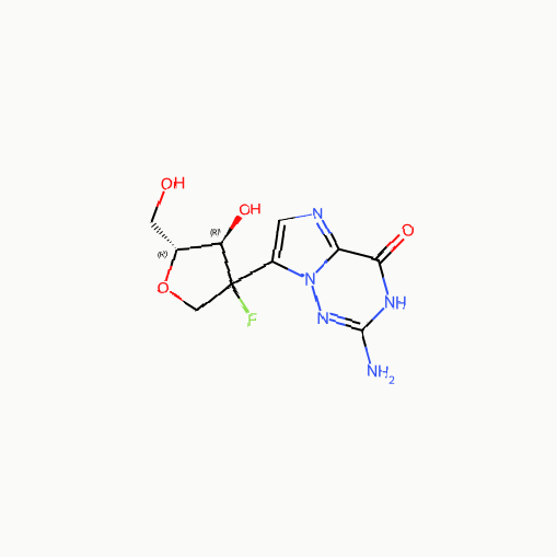 Nc1nn2c(C3(F)CO[C@H](CO)[C@H]3O)cnc2c(=O)[nH]1